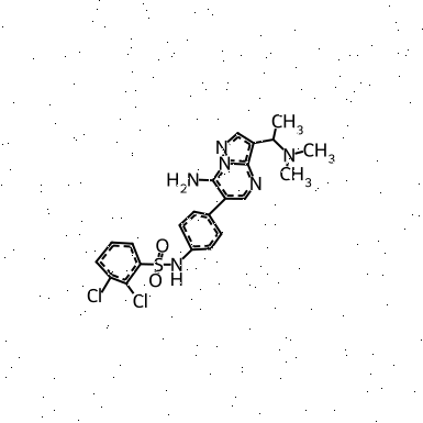 CC(c1cnn2c(N)c(-c3ccc(NS(=O)(=O)c4cccc(Cl)c4Cl)cc3)cnc12)N(C)C